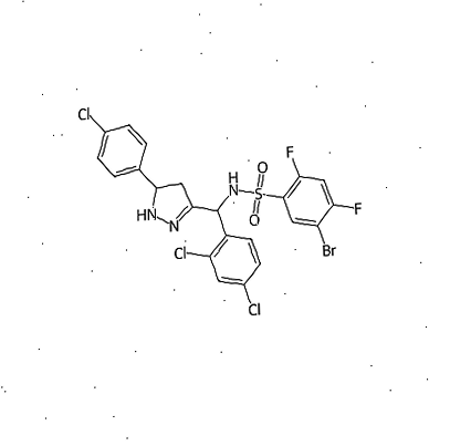 O=S(=O)(NC(C1=NNC(c2ccc(Cl)cc2)C1)c1ccc(Cl)cc1Cl)c1cc(Br)c(F)cc1F